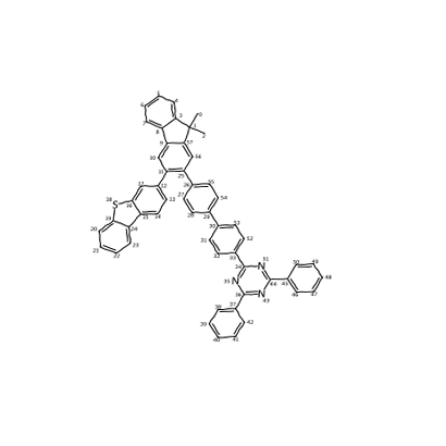 CC1(C)c2ccccc2-c2cc(-c3ccc4c(c3)sc3ccccc34)c(-c3ccc(-c4ccc(-c5nc(-c6ccccc6)nc(-c6ccccc6)n5)cc4)cc3)cc21